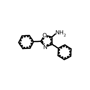 Nc1oc(-c2ccccc2)nc1-c1ccccc1